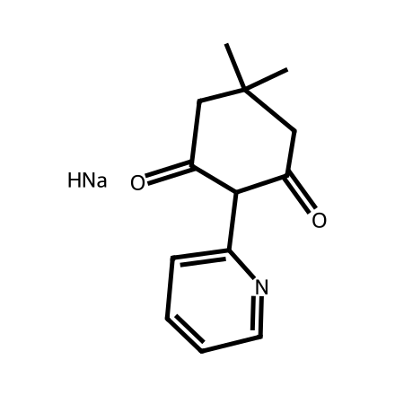 CC1(C)CC(=O)C(c2ccccn2)C(=O)C1.[NaH]